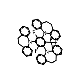 Fc1c(N2c3ccccc3CCc3ccccc32)c(F)c(N2c3ccccc3CCc3ccccc32)c(C(F)(F)F)c1N1c2ccccc2CCc2ccccc21